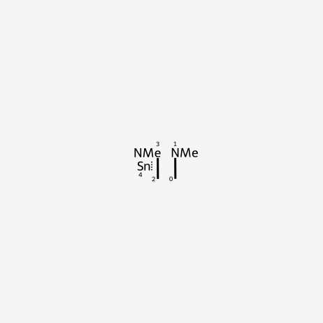 CNC.CNC.[Sn]